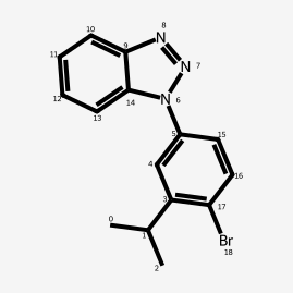 CC(C)c1cc(-n2nnc3ccccc32)ccc1Br